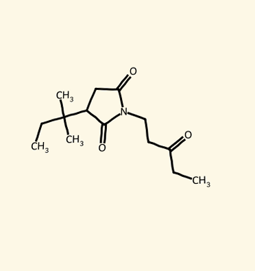 CCC(=O)CCN1C(=O)CC(C(C)(C)CC)C1=O